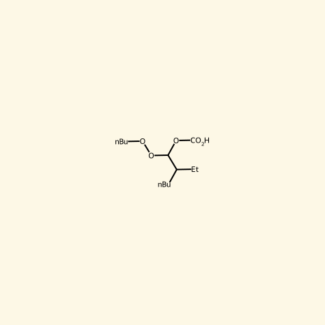 CCCCOOC(OC(=O)O)C(CC)CCCC